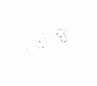 CN(CC1CC1(F)F)S(=O)(=O)N1CCN(c2ncnc3[nH]ccc23)CC12CC2